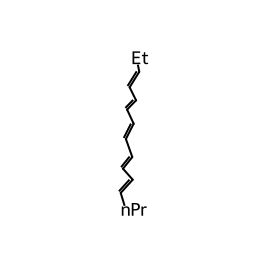 CCC=CC=CC=CC=CC=CCCC